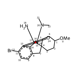 COC1CCC2(CC1)Cc1ccc(Br)cc1C21N=C(N)N(N(C)C)C1=O